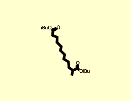 CC(C)COC(=O)CCCCCCCCCC(C)C(=O)OCC(C)C